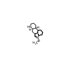 COn1cc2c3c(cccc31)[C@H]1CCCN[C@@H]1C2